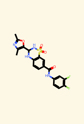 Cc1nc(C)c(C2Nc3ccc(C(=O)Nc4ccc(F)c(F)c4)cc3S(=O)(=O)N2)o1